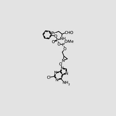 COP(OCC1CN1On1cnc2c(N)nc(Cl)nc21)OP(=O)(NC(C=O)CC(C)C)Oc1ccccc1